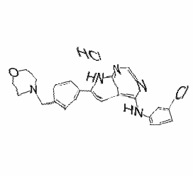 Cl.Clc1cccc(Nc2ncnc3[nH]c(-c4ccc(CN5CCOCC5)cc4)cc23)c1